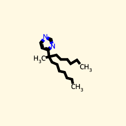 CCCCCCCC(C)(CCCCCC)c1ccncn1